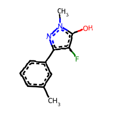 Cc1cccc(-c2nn(C)c(O)c2F)c1